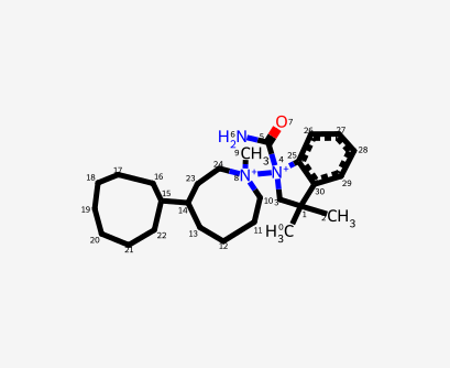 CC1(C)C[N+](C(N)=O)([N+]2(C)CCCCC(C3CCCCCCC3)CC2)c2ccccc21